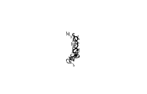 Cc1ccc(CNCC2(F)CCN(C(=O)c3nc(C(F)(F)F)cs3)CC2)nc1